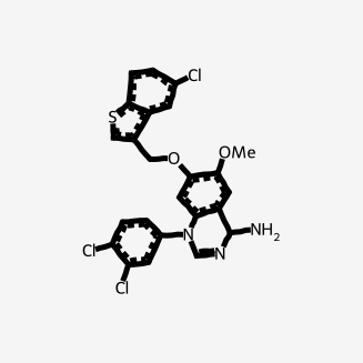 COc1cc2c(cc1OCc1csc3ccc(Cl)cc13)N(c1ccc(Cl)c(Cl)c1)C=NC2N